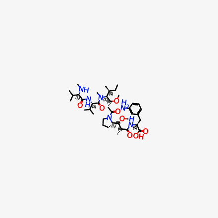 CC[C@H](C)[C@@H]([C@@H](CC(=O)N1CCC[C@H]1[C@H](OC)[C@@H](C)C(=O)N[C@@H](Cc1cccc(N)c1)C(=O)O)OC)N(C)C(=O)[C@@H](NC(=O)[C@@H](NC)C(C)C)C(C)C